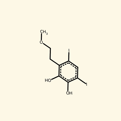 COCCc1c(I)cc(I)c(O)c1O